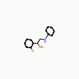 OC(CNc1ccccc1)c1ccccc1Cl